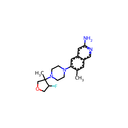 Cc1cc2cnc(N)cc2cc1N1CCN(C2(C)COCC2F)CC1